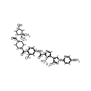 Cn1c(-c2cn(-c3ccc(N)cn3)nc2C(F)(F)F)cnc1C(=O)Nc1ccc(C(=O)N2CCN(C(=O)[C@@H]3C[C@@H](O)C[N+]3(C)C)CC2)c(Cl)c1